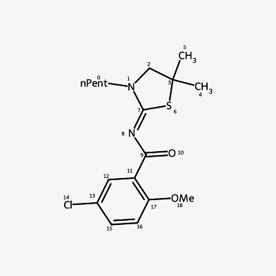 CCCCCN1CC(C)(C)S/C1=N\C(=O)c1cc(Cl)ccc1OC